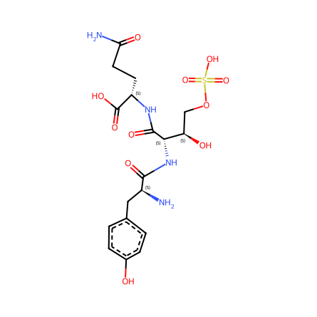 NC(=O)CC[C@H](NC(=O)[C@@H](NC(=O)[C@@H](N)Cc1ccc(O)cc1)[C@H](O)COS(=O)(=O)O)C(=O)O